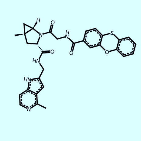 Cc1nccc2[nH]c(CNC(=O)[C@@H]3C[C@]4(C)C[C@@H]4N3C(=O)CNC(=O)c3ccc4c(c3)Oc3ccccc3S4)cc12